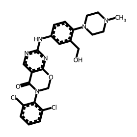 CN1CCN(c2ccc(Nc3ncc4c(n3)OCN(c3c(Cl)cccc3Cl)C4=O)cc2CO)CC1